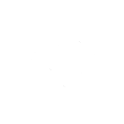 CC(C)(C)c1cc2c3c(c1)N(c1ccccc1)c1cc(N(c4ccccc4)c4ccccc4)c4ccccc4c1B3c1ccc(N(c3ccccc3)c3ccccc3)cc1O2